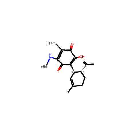 C=C(C)[C@@H]1CCC(C)=C[C@H]1C1=C(O)C(=O)C(CCCCC)=C(NCCCC)C1=O